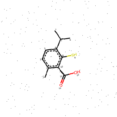 Cc1ccc(C(C)C)c(S)c1C(=O)O